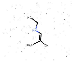 N#CCNC=C(C#N)C(=O)O